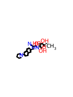 CC[C@H]1OC(O)[C@H](NC(=O)/C(C#N)=C/c2ccc3cc(N4CCCCC4)ccc3c2)[C@@H](O)C1O